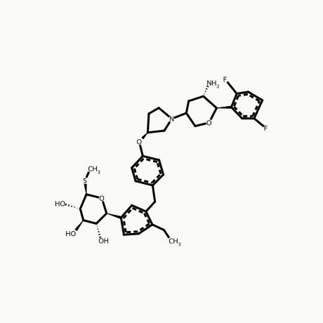 CCc1ccc([C@@H]2O[C@H](SC)[C@@H](O)[C@H](O)[C@H]2O)cc1Cc1ccc(O[C@H]2CCN(C3CO[C@H](c4cc(F)ccc4F)[C@@H](N)C3)C2)cc1